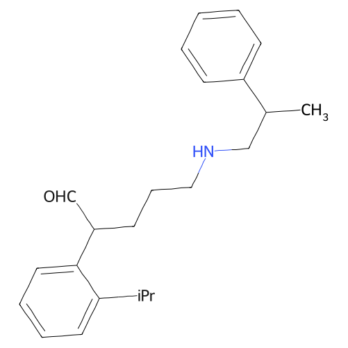 CC(C)c1ccccc1C(C=O)CCCNCC(C)c1ccccc1